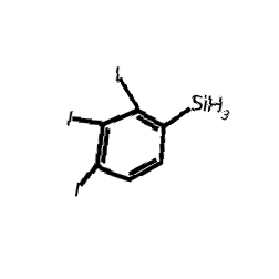 [SiH3]c1ccc(I)c(I)c1I